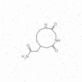 NC(=O)CC1CCCNC(=O)CNC(=O)C1